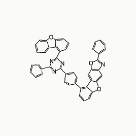 c1ccc(-c2nc(-c3ccc(-c4cccc5oc6cc7nc(-c8ccccc8)oc7cc6c45)cc3)nc(-c3cccc4oc5ccccc5c34)n2)cc1